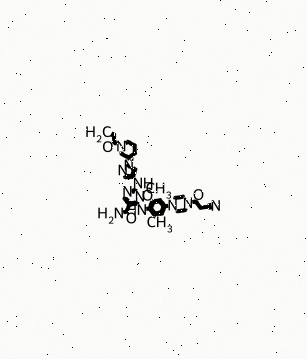 C=CC(=O)N1CCC[C@@H](n2cc(Nc3ncc(C(N)=O)c(Nc4c(C)cc(N5CCN(C(=O)CC#N)CC5)cc4OC)n3)cn2)C1